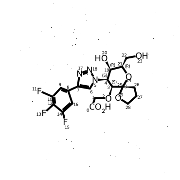 O=C(O)CO[C@H]1[C@@H](n2cc(-c3cc(F)c(F)c(F)c3)nn2)[C@@H](O)[C@@H](CO)O[C@@]12CCCO2